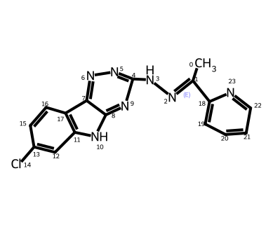 C/C(=N\Nc1nnc2c(n1)[nH]c1cc(Cl)ccc12)c1ccccn1